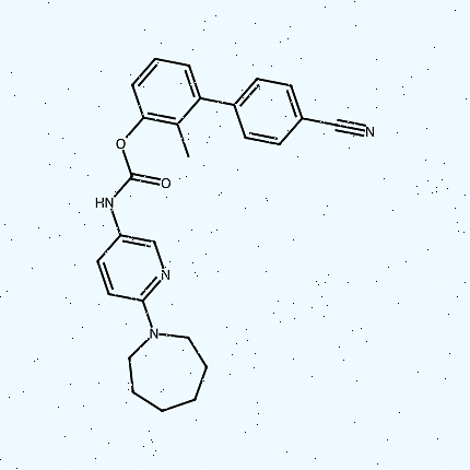 Cc1c(OC(=O)Nc2ccc(N3CCCCCC3)nc2)cccc1-c1ccc(C#N)cc1